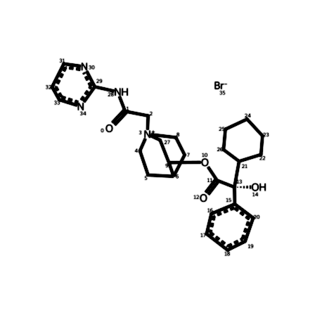 O=C(C[N+]12CCC(CC1)C(OC(=O)[C@](O)(c1ccccc1)C1CCCCC1)C2)Nc1ncccn1.[Br-]